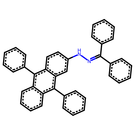 c1ccc(C(=NNc2ccc3c(-c4ccccc4)c4ccccc4c(-c4ccccc4)c3c2)c2ccccc2)cc1